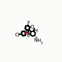 NC[C@@H]1CC[C@@]2(S(=O)(=O)c3ccc(Cl)cc3)c3c(F)ccc(F)c3OC[C@H]2C1